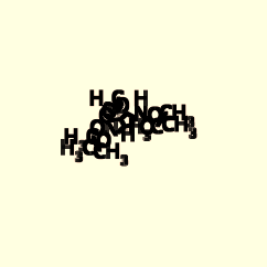 COC(=O)[C@]12C[C@H](NC(=O)OC(C)(C)C)C[C@H]1CN(C(=O)OC(C)(C)C)C2=O